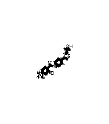 CC(C)(O)C1=NC(c2ccc(NC(=O)c3ccc(S(C)(=O)=O)cc3Cl)cc2)CS1